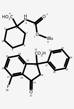 CC(C)(C)OC(=O)NC1(C(=O)O)CCCCC1.O=C1CC(C(=O)O)(c2ccccc2)c2cccc(F)c21